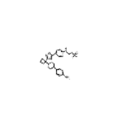 CS(=O)(=O)CCNc1ccc(-c2nc(C3(C4CCC(c5cnc(N)nc5)CC4)CCC3)no2)cn1